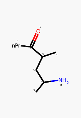 CCCC(=O)C(C)CC(C)N